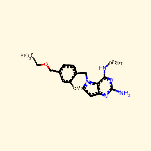 CCCCCNc1nc(N)nc2ccn(Cc3ccc(COCC(=O)OCC)cc3OC)c12